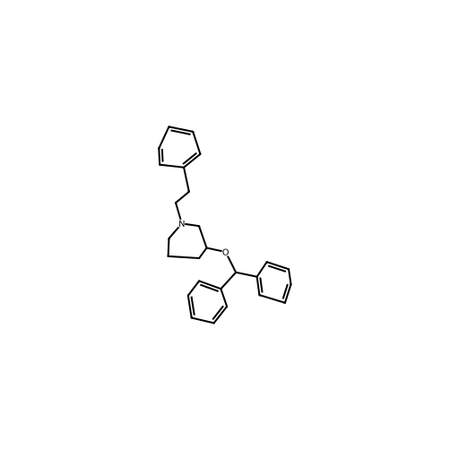 c1ccc(CCN2CCCC(OC(c3ccccc3)c3ccccc3)C2)cc1